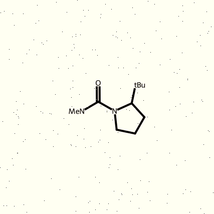 CNC(=O)N1CCCC1C(C)(C)C